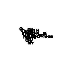 CCCCCCC(CC)OCC(=O)NCCOP(=O)(O)OP(=O)(O)O[C@H]1C[C@]2(C)C(C(=O)CO)C3(C[C@H]2[C@@H]2CCC4=CC(=O)C=C[C@]4(C)[C@H]21)OC(CCC)O3